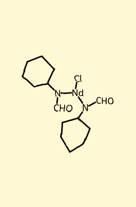 O=C[N](C1CCCCC1)[Nd]([Cl])[N](C=O)C1CCCCC1